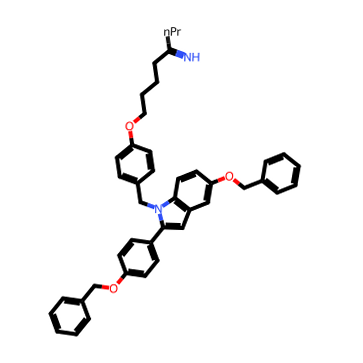 CCCC(=N)CCCCOc1ccc(Cn2c(-c3ccc(OCc4ccccc4)cc3)cc3cc(OCc4ccccc4)ccc32)cc1